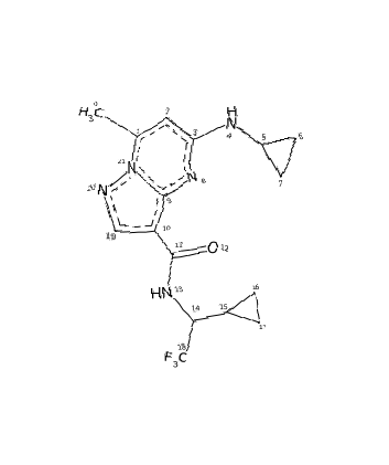 Cc1cc(NC2CC2)nc2c(C(=O)NC(C3CC3)C(F)(F)F)cnn12